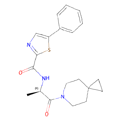 C[C@@H](NC(=O)c1ncc(-c2ccccc2)s1)C(=O)N1CCC2(CC1)CC2